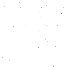 [N-]=[N+]=Nc1ccccc1N=Nc1ccccc1